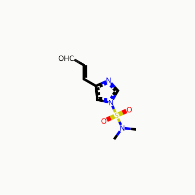 CN(C)S(=O)(=O)n1cnc(/C=C/C=O)c1